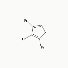 [Li][C]1=C(C(C)C)CC=C1C(C)C